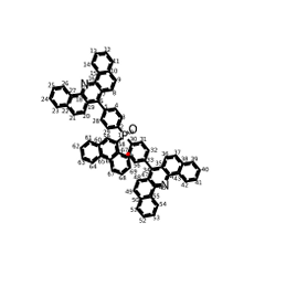 O=P(c1ccc(-c2c3ccc4ccccc4c3nc3c2ccc2ccccc23)cc1)(c1ccc(-c2c3ccc4ccccc4c3nc3c2ccc2ccccc23)cc1)c1cc2ccccc2c2ccccc12